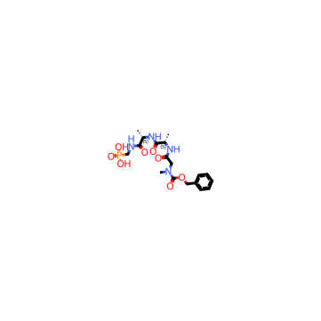 C[C@H](NC(=O)CN(C)C(=O)OCc1ccccc1)C(=O)N[C@@H](C)C(=O)NCP(=O)(O)O